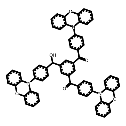 O=C(c1ccc(N2c3ccccc3Oc3ccccc32)cc1)c1cc(C(=O)c2ccc(N3c4ccccc4Oc4ccccc43)cc2)cc(C(O)c2ccc(N3c4ccccc4Oc4ccccc43)cc2)c1